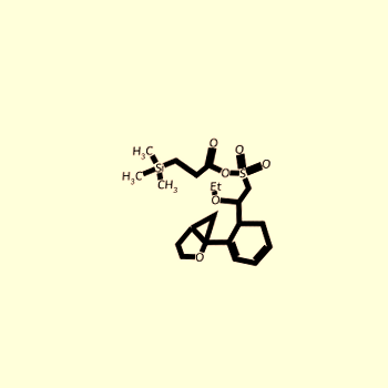 CCOC(CS(=O)(=O)OC(=O)CC[Si](C)(C)C)C1CC=CC=C1C12CC1CCO2